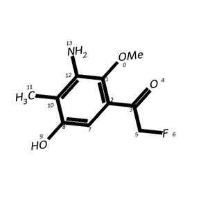 COc1c(C(=O)CF)cc(O)c(C)c1N